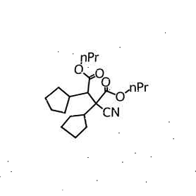 CCCOC(=O)C(C1CCCC1)C(C#N)(C(=O)OCCC)C1CCCC1